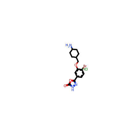 Cl.NC1CCC(COc2cc(-c3n[nH]c(=O)o3)ccc2Br)CC1